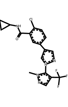 Cn1ncc(C(F)(F)F)c1-n1cc(-c2ccc(Cl)c(C(=O)NC3CC3)c2)cn1